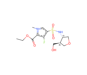 CCOC(=O)c1c(F)c(S(=O)(=O)N[C@@H]2COC[C@H]2CO)cn1C